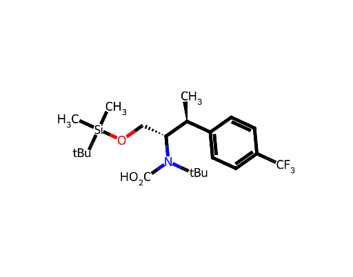 C[C@@H](c1ccc(C(F)(F)F)cc1)[C@@H](CO[Si](C)(C)C(C)(C)C)N(C(=O)O)C(C)(C)C